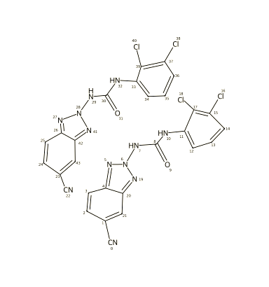 N#Cc1ccc2nn(NC(=O)Nc3cccc(Cl)c3Cl)nc2c1.N#Cc1ccc2nn(NC(=O)Nc3cccc(Cl)c3Cl)nc2c1